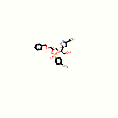 C#CC1=NO[C@H]([C@@H](CO)OC[C@H](COCc2ccccc2)OS(=O)(=O)c2ccc(C)cc2)C1